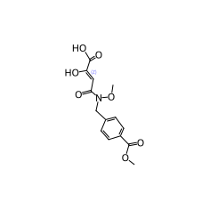 COC(=O)c1ccc(CN(OC)C(=O)/C=C(\O)C(=O)O)cc1